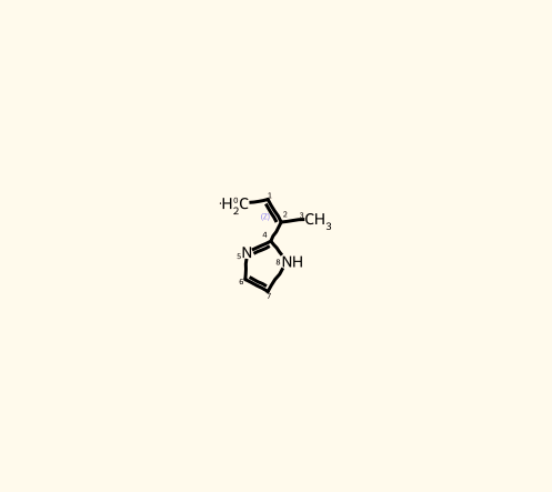 [CH2]/C=C(/C)c1ncc[nH]1